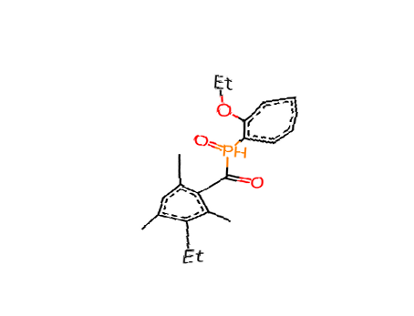 CCOc1ccccc1[PH](=O)C(=O)c1c(C)cc(C)c(CC)c1C